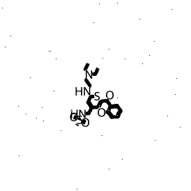 CCN(CC)CCNC1C=C(CNS(C)(=O)=O)c2oc3ccccc3c(=O)c2S1